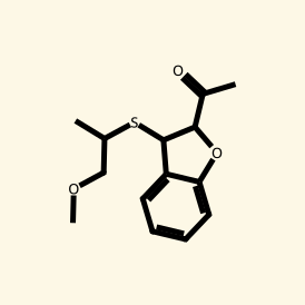 COCC(C)SC1c2ccccc2OC1C(C)=O